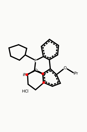 CC(C)Oc1cccc(OC(C)C)c1-c1ccccc1P(C1CCCCC1)C1CCCCC1.Cl